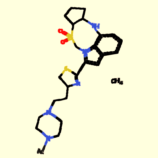 C.CC(=O)N1CCN(CCC2CSC(c3cc4cccc5c4n3CS(=O)(=O)C3CCCC3N5)=N2)CC1